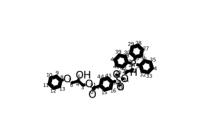 O=C(OCC(O)COc1ccccc1)c1ccc(S(=O)(=O)OCC[PH](c2ccccc2)(c2ccccc2)c2ccccc2)cc1